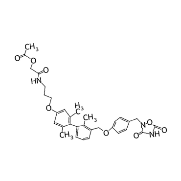 CC(=O)OCC(=O)NCCCOc1cc(C)c(-c2cccc(COc3ccc(Cn4oc(=O)[nH]c4=O)cc3)c2C)c(C)c1